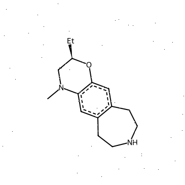 CC[C@@H]1CN(C)c2cc3c(cc2O1)CCNCC3